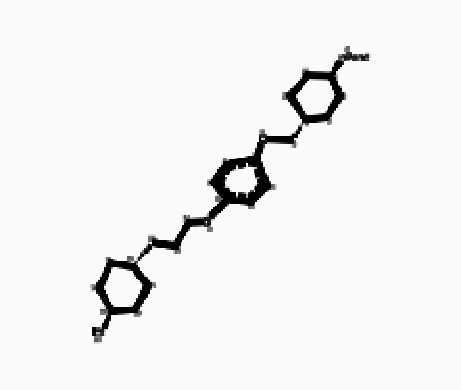 CCCCC[C@H]1CC[C@H](COc2ccc(OCCC[C@H]3CC[C@H](CC)CC3)cc2)CC1